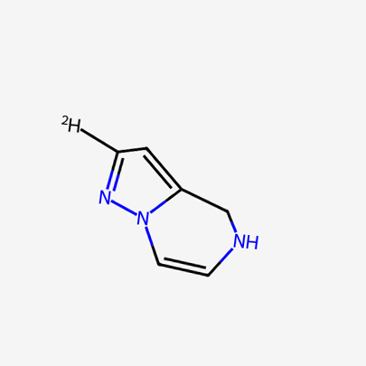 [2H]c1cc2n(n1)C=CNC2